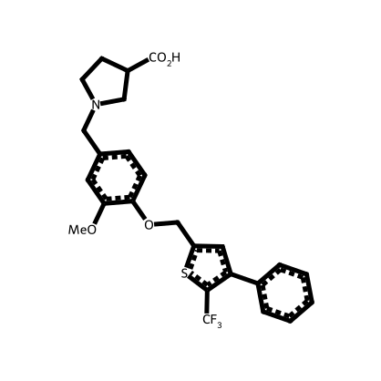 COc1cc(CN2CCC(C(=O)O)C2)ccc1OCc1cc(-c2ccccc2)c(C(F)(F)F)s1